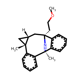 COCC[C@@]12C[C@H]3C[C@@]3(C)c3ccccc3[C@@](C)(N1)c1ccccc12